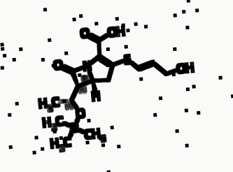 C[C@@H](O[Si](C)(C)C)[C@H]1C(=O)N2C(C(=O)O)=C(SC=CCO)C[C@H]12